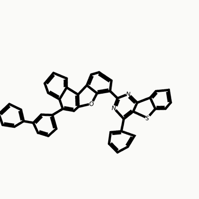 c1ccc(-c2cccc(-c3cc4oc5c(-c6nc(-c7ccccc7)c7sc8ccccc8c7n6)cccc5c4c4ccccc34)c2)cc1